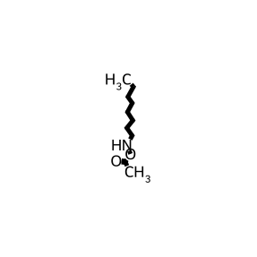 CCCCCCCCNOC(C)=O